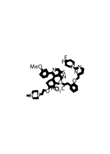 COc1cccc(-c2ncc3snc(O[C@H](Cc4ccccc4OCc4ccnc(N5CCC(F)(F)CC5)n4)C(=O)O)c3c2C2=C(C)C(Cl)=C(OCCN3CCN(C)CC3)CC2)c1